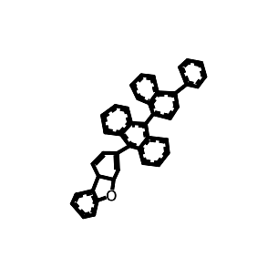 C1=CC2c3ccccc3OC2C=C1c1c2ccccc2c(-c2ccc(-c3ccccc3)c3ccccc23)c2ccccc12